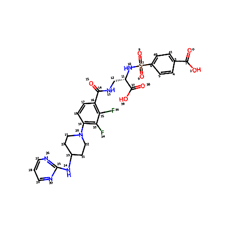 O=C(O)c1ccc(S(=O)(=O)N[C@@H](CNC(=O)c2ccc(N3CCC(Nc4ncccn4)CC3)c(F)c2F)C(=O)O)cc1